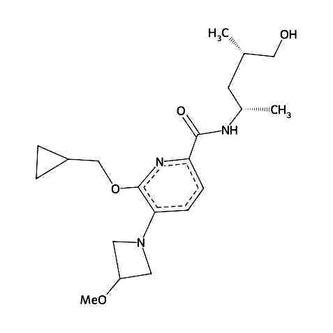 COC1CN(c2ccc(C(=O)N[C@@H](C)C[C@H](C)CO)nc2OCC2CC2)C1